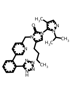 CCCCc1cn(-c2c(C)cnn2C(C)C)c(=O)n1Cc1ccc(-c2ccccc2-c2nnn[nH]2)cn1